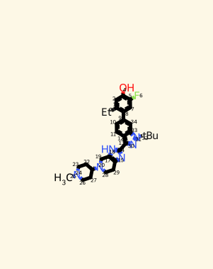 CCc1cc(O)c(F)cc1-c1ccc2c(-c3nc4c([nH]3)CN(C3CCN(C)CC3)CC4)nn(C(C)(C)C)c2c1